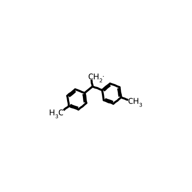 [CH2]C(c1ccc(C)cc1)c1ccc(C)cc1